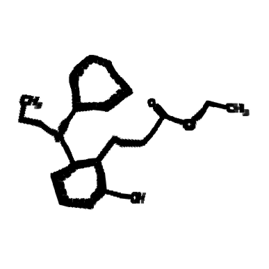 CCOC(=O)CCc1c(O)cccc1N(CC)c1ccccc1